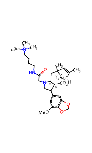 CCCC[N+](C)(C)CCCCNC(=O)CN1CC(c2cc(OC)c3c(c2)OCO3)[C@H](C(=O)O)[C@H]1CC(C)(C)C=C(C)C